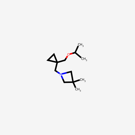 CC(C)OCC1(CN2CC(C)(C)C2)CC1